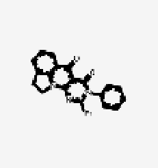 CC(C)c1nc2c(c(=O)c3cccc4c3n2CC4)c(=O)n1-c1ccccc1